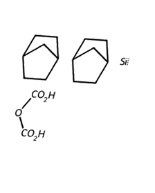 C1CC2CCC1C2.C1CC2CCC1C2.O=C(O)OC(=O)O.[Si]